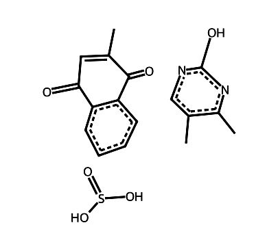 CC1=CC(=O)c2ccccc2C1=O.Cc1cnc(O)nc1C.O=S(O)O